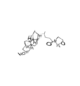 CC(CCC(=O)N1CCCO[C@@H](C)C1)[C@H]1CC[C@H]2[C@@H]3CC=C4C[C@@H](O)CC[C@]4(C)[C@H]3CC[C@]12C